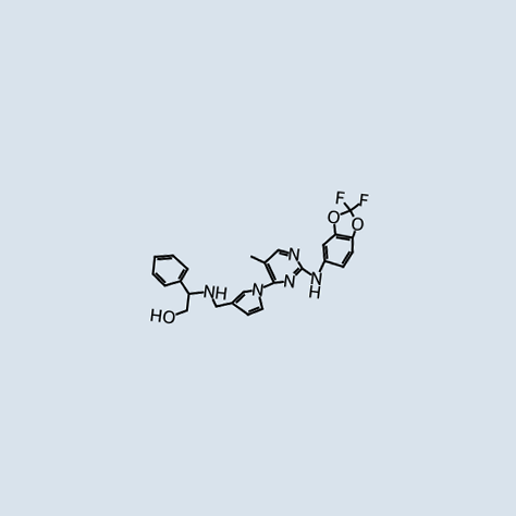 Cc1cnc(Nc2ccc3c(c2)OC(F)(F)O3)nc1-n1ccc(CNC(CO)c2ccccc2)c1